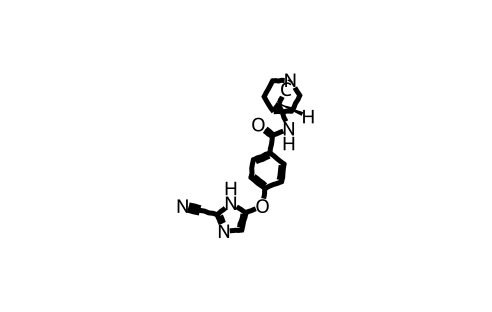 N#Cc1ncc(Oc2ccc(C(=O)N[C@H]3CN4CCC3CC4)cc2)[nH]1